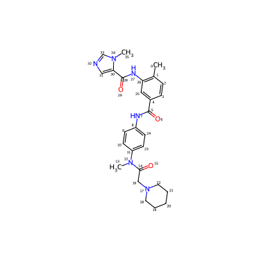 Cc1ccc(C(=O)Nc2ccc(N(C)C(=O)CN3CCCCC3)cc2)cc1NC(=O)c1cncn1C